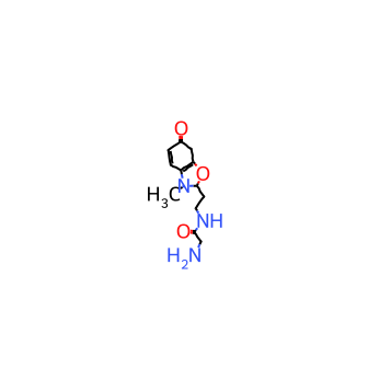 CN1C2=C(CC(=O)C=C2)OC1CCNC(=O)CN